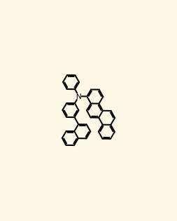 c1ccc(N(c2cccc(-c3cccc4ccccc34)c2)c2cccc3c2ccc2c4ccccc4ccc32)cc1